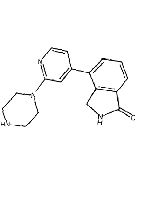 O=C1NCc2c1cccc2-c1ccnc(N2CCNCC2)c1